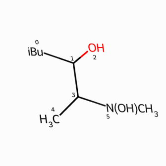 CCC(C)C(O)C(C)N(C)O